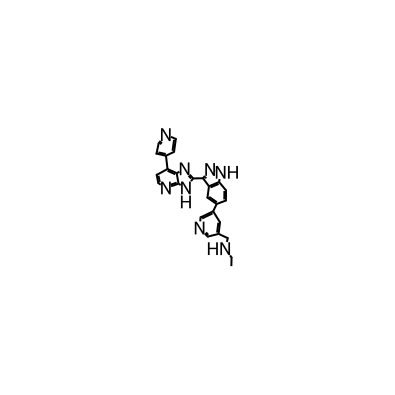 CCNCc1cncc(-c2ccc3[nH]nc(-c4nc5c(-c6ccncc6)ccnc5[nH]4)c3c2)c1